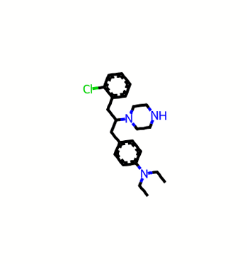 CCN(CC)c1ccc(CC(Cc2ccccc2Cl)N2CCNCC2)cc1